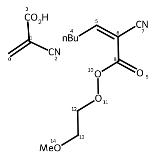 C=C(C#N)C(=O)O.CCCCC=C(C#N)C(=O)OOCCOC